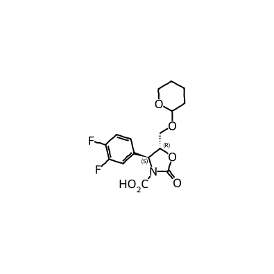 O=C(O)N1C(=O)O[C@@H](COC2CCCCO2)[C@@H]1c1ccc(F)c(F)c1